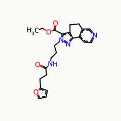 CCOC(=O)c1c2c(nn1CCCNC(=O)CCc1ccco1)-c1ccncc1CC2